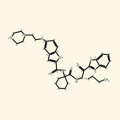 CCCC[C@H](NC(=O)C1(NC(=O)c2cc3cc(OCCN4CCOCC4)ccc3o2)CCCCC1)C(=O)c1nc2ccccc2o1